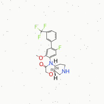 COc1cc(-c2cccc(C(F)(F)F)c2)c(F)cc1N1C(=O)CO[C@H]2CNCC[C@@H]21